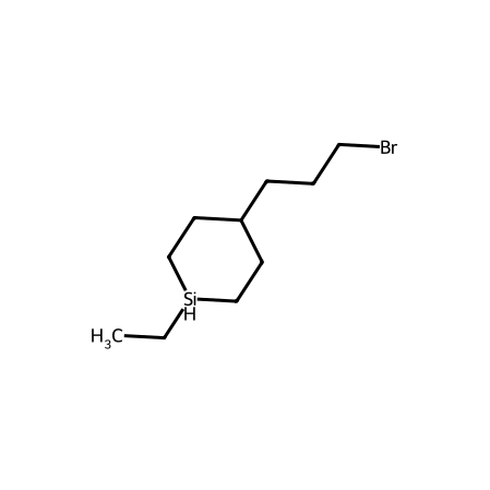 CC[SiH]1CCC(CCCBr)CC1